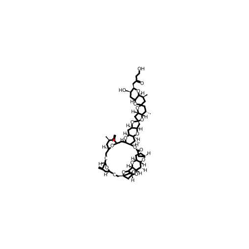 C=C1C[C@@H]2CC[C@]34C[C@H]5O[C@H]6[C@@H](O3)[C@H]3O[C@H](CC[C@@H]3O[C@H]6[C@@H]5O4)CC(=O)O[C@@H]3[C@@H](C)[C@@H]4O[C@@H]5C[C@]6(C[C@@H]7OC8(C[C@H](C)[C@@H]9O[C@H](CC(=O)CCO)[C@H](O)C[C@@H]9O8)C[C@H](C)[C@@H]7O6)O[C@@H]5C[C@@H]4O[C@@H]3C[C@H]3O[C@@H](CC[C@@H]1O2)C[C@@H](C)C3=C